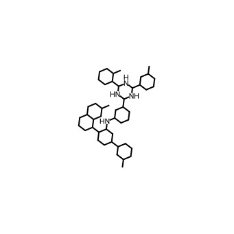 CC1CCCC(C2CCC(C3CCCC4CCC(C)CC43)C(NC3CCCC(C4NC(C5CCCC(C)C5)NC(C5CCCCC5C)N4)C3)C2)C1